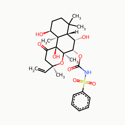 C=C[C@@]1(C)CC(=O)[C@]2(O)[C@@]3(C)[C@@H](O)CCC(C)(C)[C@@H]3[C@H](O)[C@H](OC(=O)NS(=O)(=O)c3ccccc3)[C@@]2(C)O1